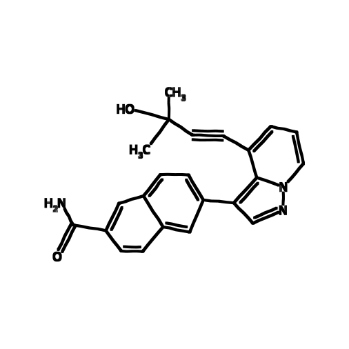 CC(C)(O)C#Cc1cccn2ncc(-c3ccc4cc(C(N)=O)ccc4c3)c12